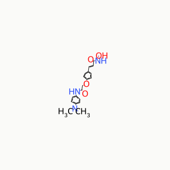 CN(C)c1ccc(NC(=O)COc2ccc(/C=C/C(=O)NO)cc2)cc1